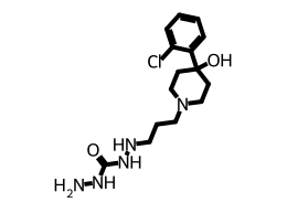 NNC(=O)NNCCCN1CCC(O)(c2ccccc2Cl)CC1